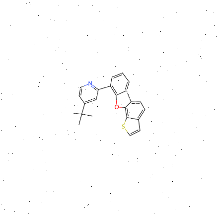 CC(C)(C)c1ccnc(-c2cccc3c2oc2c3ccc3ccsc32)c1